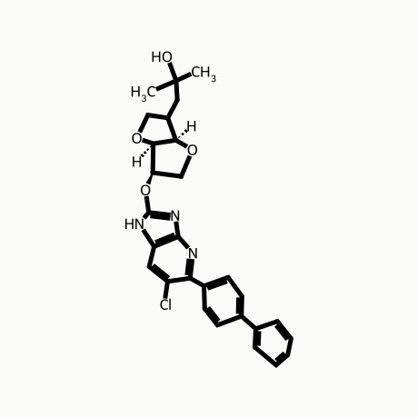 CC(C)(O)CC1CO[C@H]2[C@@H]1OC[C@H]2Oc1nc2nc(-c3ccc(-c4ccccc4)cc3)c(Cl)cc2[nH]1